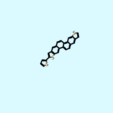 c1csc(-c2cc3cc4ccc5c6cc7sccc7cc6ccc5c4cc3s2)c1